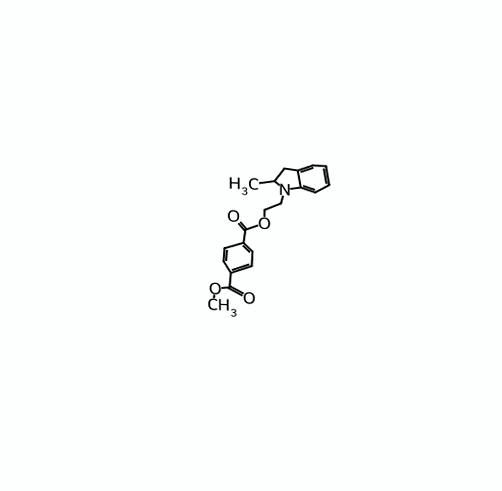 COC(=O)c1ccc(C(=O)OCCN2c3ccccc3CC2C)cc1